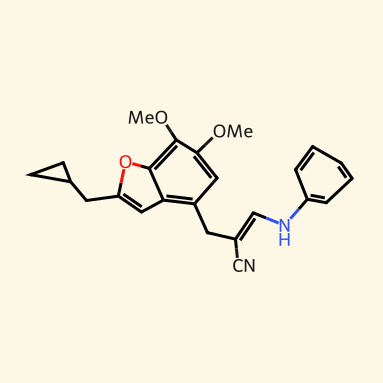 COc1cc(CC(C#N)=CNc2ccccc2)c2cc(CC3CC3)oc2c1OC